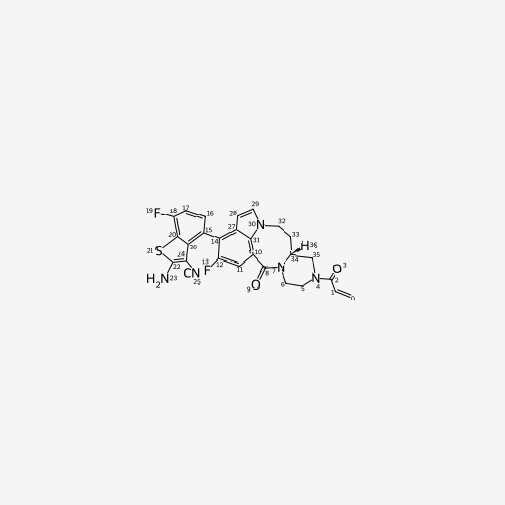 C=CC(=O)N1CCN2C(=O)c3cc(F)c(-c4ccc(F)c5sc(N)c(C#N)c45)c4ccn(c34)CC[C@@H]2C1